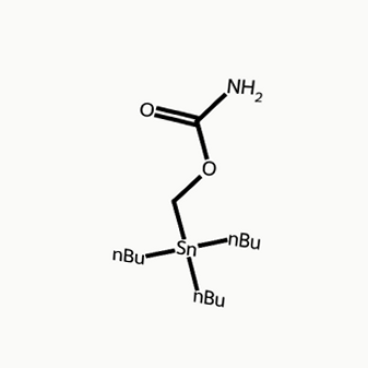 CCC[CH2][Sn]([CH2]CCC)([CH2]CCC)[CH2]OC(N)=O